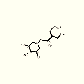 O=S(=O)(O)O[C@@H](CO)[C@H](O)CN1C[C@@H](O)[C@H](O)[C@@H](O)C1